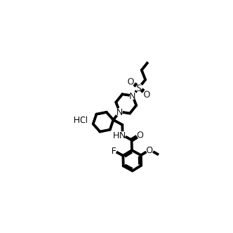 CCCS(=O)(=O)N1CCN(C2(CNC(=O)c3c(F)cccc3OC)CCCCC2)CC1.Cl